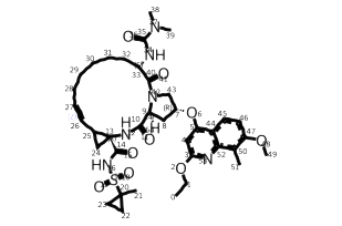 CCOc1cc(O[C@@H]2C[C@H]3C(=O)N[C@]4(C(=O)NS(=O)(=O)C5(C)CC5)CC4/C=C\CCCCC[C@H](NC(=O)N(C)C)C(=O)N3C2)c2ccc(OC)c(C)c2n1